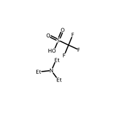 CCN(CC)CC.O=S(=O)(O)C(F)(F)F